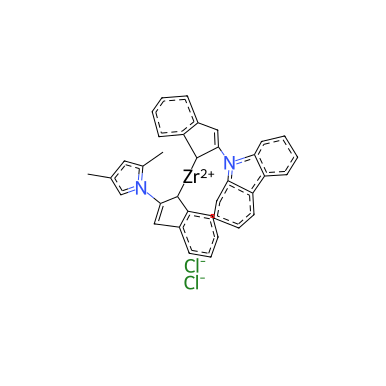 Cc1cc(C)n(C2=Cc3ccccc3[CH]2[Zr+2][CH]2C(n3c4ccccc4c4ccccc43)=Cc3ccccc32)c1.[Cl-].[Cl-]